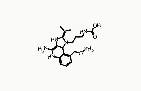 CC(C)=C1NC2=C(N)Nc3cccc(CON)c3C2N1CCCNC(=O)O